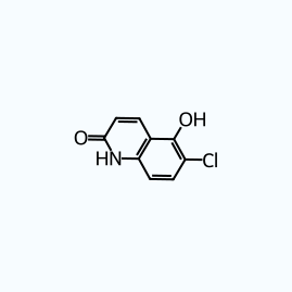 O=c1ccc2c(O)c(Cl)ccc2[nH]1